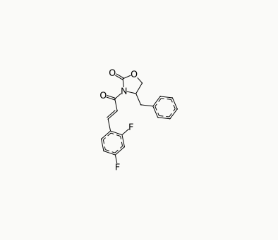 O=C(C=Cc1ccc(F)cc1F)N1C(=O)OCC1Cc1ccccc1